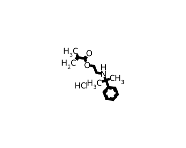 C=C(C)C(=O)OCCNC(C)(C)c1ccccc1.Cl